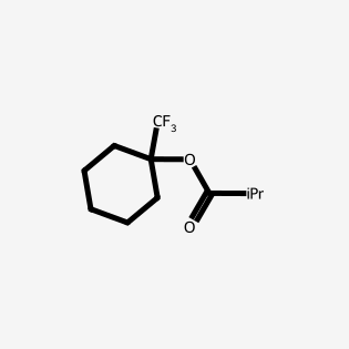 CC(C)C(=O)OC1(C(F)(F)F)CCCCC1